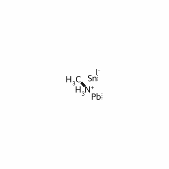 C[NH3+].[I-].[Pb].[Sn]